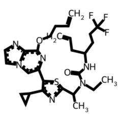 C=CCCOc1nc(-c2sc(C(C)N(CC)C(=O)NC(CC=C)CCC(F)(F)F)nc2C2CC2)cn2ccnc12